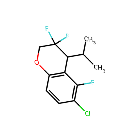 CC(C)C1c2c(ccc(Cl)c2F)OCC1(F)F